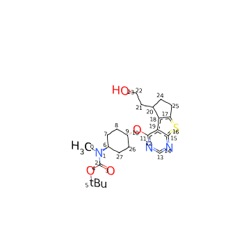 CN(C(=O)OC(C)(C)C)[C@H]1CC[C@H](Oc2ncnc3sc4c(c23)C(CCO)CC4)CC1